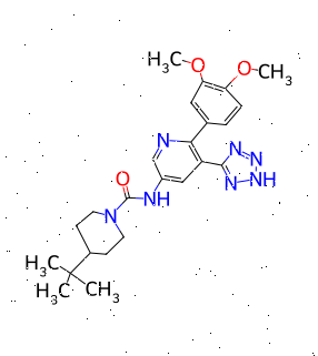 COc1ccc(-c2ncc(NC(=O)N3CCC(C(C)(C)C)CC3)cc2-c2nn[nH]n2)cc1OC